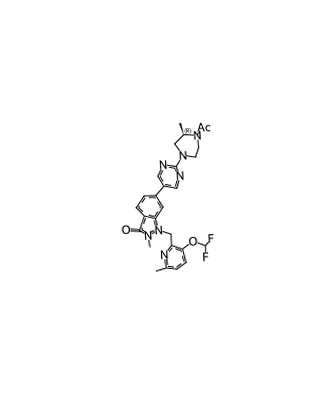 CC(=O)N1CCN(c2ncc(-c3ccc4c(=O)n(C)n(Cc5nc(C)ccc5OC(F)F)c4c3)cn2)C[C@H]1C